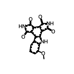 COc1cccc2c1[nH]c1c3c(=O)[nH]c(=O)c3c3c(=O)[nH]c(=O)c3c21